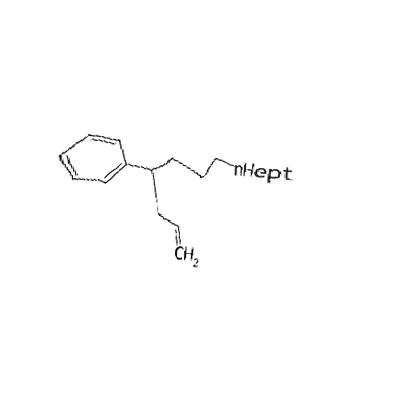 C=CCC(CCCCCCCCCC)c1ccccc1